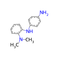 CN(C)c1ccccc1Nc1ccc(N)cc1